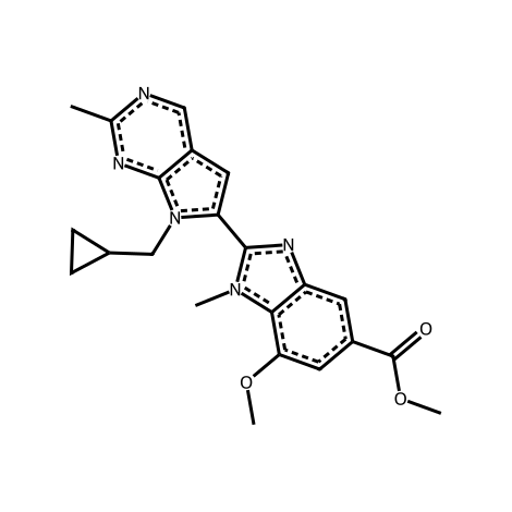 COC(=O)c1cc(OC)c2c(c1)nc(-c1cc3cnc(C)nc3n1CC1CC1)n2C